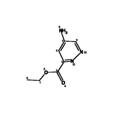 CCOC(=O)c1cc(N)cnn1